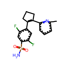 Cc1cccc(C2=C(c3cc(F)c(S(N)(=O)=O)cc3F)CCC2)n1